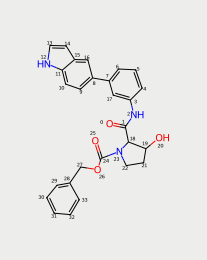 O=C(Nc1cccc(-c2ccc3[nH]ccc3c2)c1)C1C(O)CCN1C(=O)OCc1ccccc1